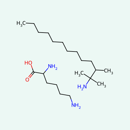 CCCCCCCCCCC(C)C(C)(C)N.NCCCCC(N)C(=O)O